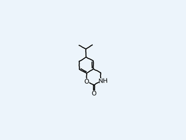 CC(C)C1C=C2CNC(=O)OC2=CC1